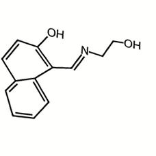 OCC/N=C/c1c(O)ccc2ccccc12